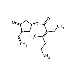 C=CN1CCCC1=O.CCC(C(=O)O)=C(C)CCN